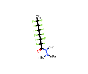 CCCCN(CCCC)N(CCC)C(=O)C(F)(F)C(F)(F)C(F)(F)C(F)(F)C(F)(F)C(F)(F)C(F)(F)F